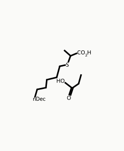 CCC(=O)O.CCCCCCCCCCCCCCCSC(C)C(=O)O